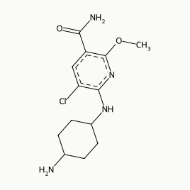 COc1nc(NC2CCC(N)CC2)c(Cl)cc1C(N)=O